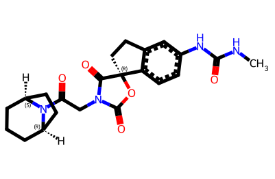 CNC(=O)Nc1ccc2c(c1)CC[C@@]21OC(=O)N(CC(=O)N2[C@@H]3CCC[C@H]2CC3)C1=O